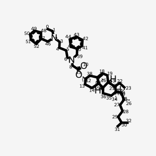 CCN(CCCCN(CC(=O)O[C@H]1CC[C@@]2(C)C(=CC[C@H]3[C@@H]4CC[C@H]([C@H](C)CCCC(C)C)[C@@]4(C)CC[C@@H]32)C1)Cc1ccccc1)Cc1ccccc1